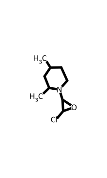 CC1CCN(C2OC2Cl)C(C)C1